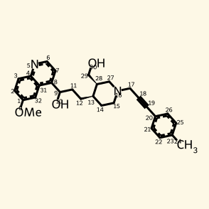 COc1ccc2nccc(C(O)CC[C@@H]3CCN(CC#Cc4ccc(C)cc4)C[C@@H]3CO)c2c1